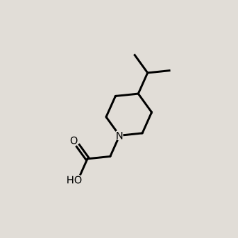 CC(C)C1CCN(CC(=O)O)CC1